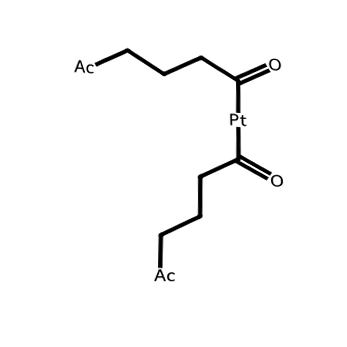 CC(=O)CCC[C](=O)[Pt][C](=O)CCCC(C)=O